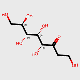 O=C(CCO)[C@H](O)[C@@H](O)[C@H](O)[C@H](O)CO